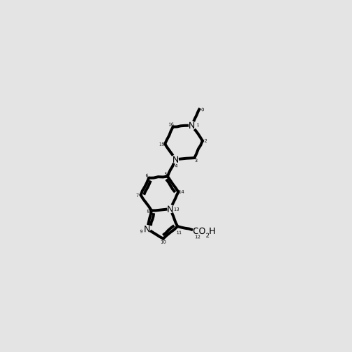 CN1CCN(c2ccc3ncc(C(=O)O)n3c2)CC1